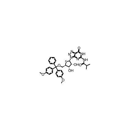 COc1ccc(C(OC[C@H]2S[C@@H](n3nnc4c(=O)[nH]c(NC(=O)C(C)C)nc43)[C@H](O)[C@@H]2O)(c2ccccc2)c2ccc(OC)cc2)cc1